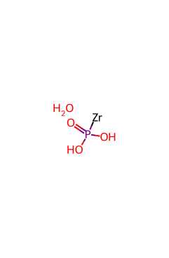 O.O=[P](O)(O)[Zr]